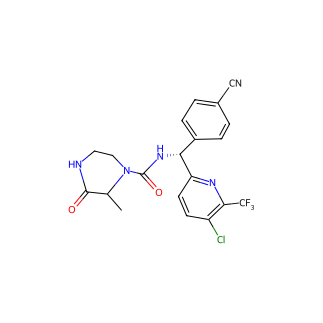 CC1C(=O)NCCN1C(=O)N[C@H](c1ccc(C#N)cc1)c1ccc(Cl)c(C(F)(F)F)n1